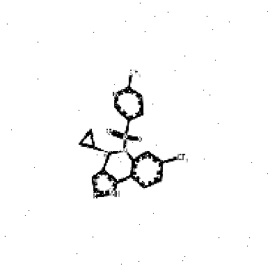 O=S(=O)(c1ccc(C(F)(F)F)nc1)N1c2cc(C(F)(F)F)ccc2-c2[nH]ncc2[C@H]1C1CC1